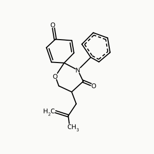 C=C(C)CC1COC2(C=CC(=O)C=C2)N(c2ccccc2)C1=O